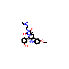 CCOc1ccc2[nH]c3c(c2c1)C[C@@]1(C)C(=O)N(CCN(C)CC)C(=O)N1[C@@H]3c1cccc(O)c1